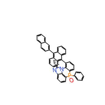 CCc1nc2cccc3c2n1-c1c(-c2c4ccccc4c(-c4ccc5ccccc5c4)c4ccccc24)cccc1P3(=O)c1ccccc1